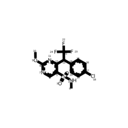 CNS(=O)(=O)c1cnc(OC)nc1C(c1ccc(Cl)cc1)C(F)(F)F